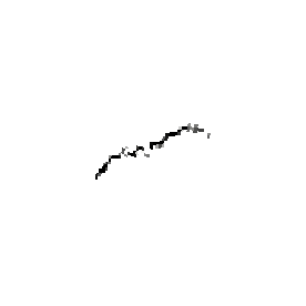 CC#CCCOCCOCCCCCN